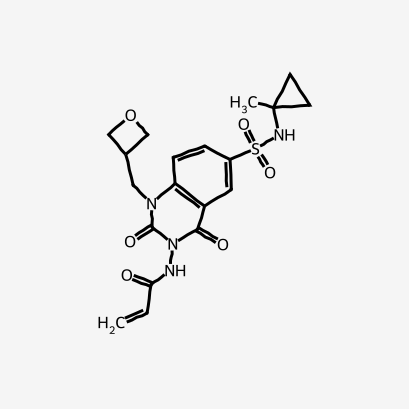 C=CC(=O)Nn1c(=O)c2cc(S(=O)(=O)NC3(C)CC3)ccc2n(CC2COC2)c1=O